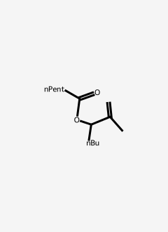 C=C(C)C(CCCC)OC(=O)CCCCC